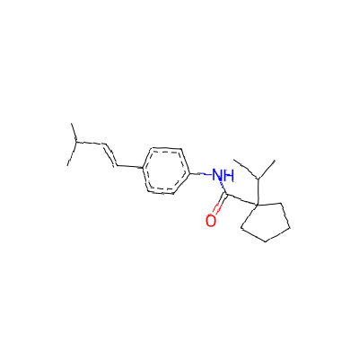 CC(C)/C=C/c1ccc(NC(=O)C2(C(C)C)CCCC2)cc1